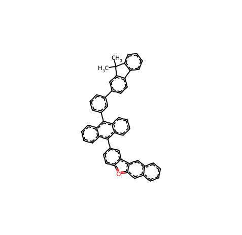 CC1(C)c2ccccc2-c2ccc(-c3cccc(-c4c5ccccc5c(-c5ccc6oc7cc8ccccc8cc7c6c5)c5ccccc45)c3)cc21